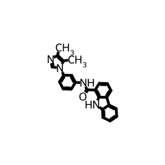 Cc1ncn(-c2cccc(NC(=O)c3cccc4c3[nH]c3ccccc34)c2)c1C